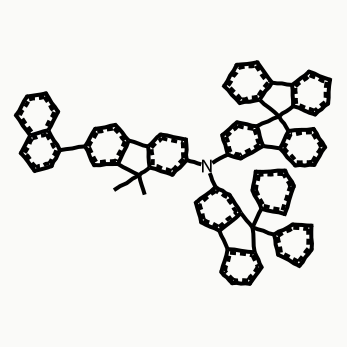 CC1(C)c2cc(-c3cccc4ccccc34)ccc2-c2ccc(N(c3ccc4c(c3)-c3ccccc3C43c4ccccc4-c4ccccc43)c3ccc4c(c3)C(c3ccccc3)(c3ccccc3)c3ccccc3-4)cc21